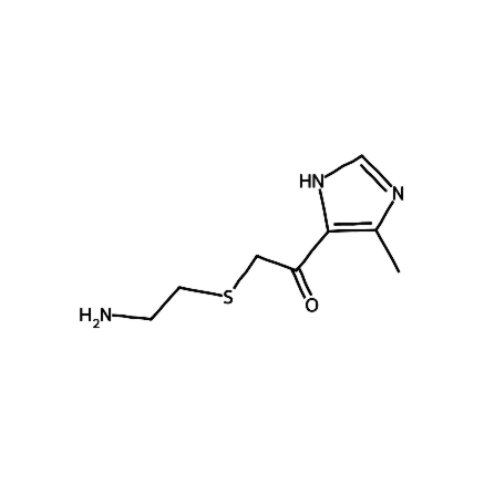 Cc1nc[nH]c1C(=O)CSCCN